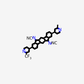 [C-]#[N+]/N=c1\c2cc(-c3ccnc(C)c3)ccc2c2cc3/c(=N/C#N)c4cc(-c5ccnc(C(F)(F)F)c5)ccc4c3cc12